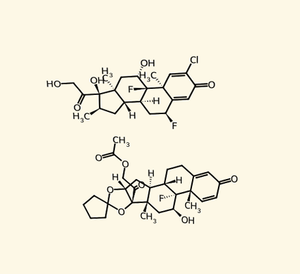 CC(=O)OCC(=O)[C@@]12OC3(CCCC3)O[C@@H]1C[C@H]1[C@@H]3CCC4=CC(=O)C=C[C@]4(C)[C@@]3(F)[C@@H](O)C[C@@]12C.C[C@@H]1C[C@H]2[C@@H]3C[C@H](F)C4=CC(=O)C(Cl)=C[C@]4(C)[C@@]3(F)[C@@H](O)C[C@]2(C)[C@@]1(O)C(=O)CO